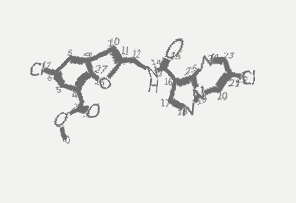 COC(=O)c1cc(Cl)cc2cc(CNC(=O)c3cnn4cc(Cl)cnc34)oc12